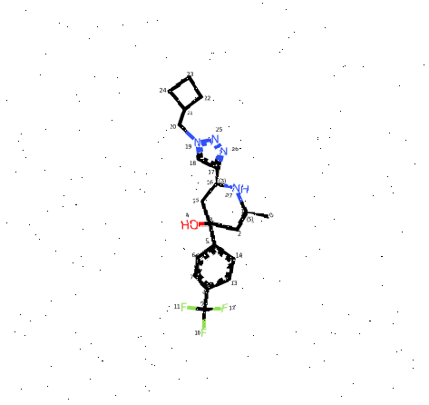 C[C@H]1CC(O)(c2ccc(C(F)(F)F)cc2)C[C@@H](c2cn(CC3CCC3)nn2)N1